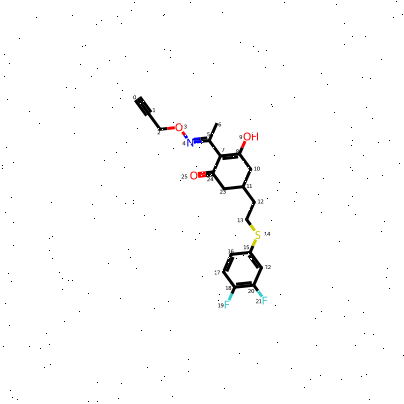 C#CCON=C(C)C1=C(O)CC(CCSc2ccc(F)c(F)c2)CC1=O